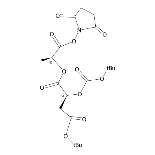 C[C@H](OC(=O)[C@H](CC(=O)OC(C)(C)C)OC(=O)OC(C)(C)C)C(=O)ON1C(=O)CCC1=O